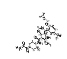 CC(=O)NC1CCC(NC(=O)c2c(C)[nH]c3c(-c4cc(C(F)F)ccc4OCC4CC4)ncnc23)C(F)C1